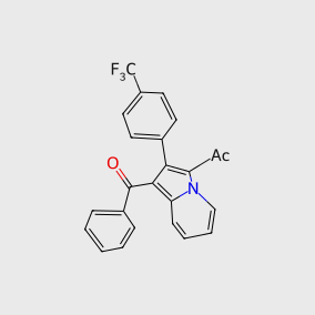 CC(=O)c1c(-c2ccc(C(F)(F)F)cc2)c(C(=O)c2ccccc2)c2ccccn12